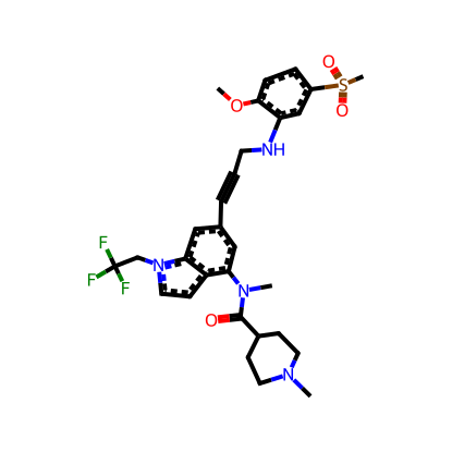 COc1ccc(S(C)(=O)=O)cc1NCC#Cc1cc(N(C)C(=O)C2CCN(C)CC2)c2ccn(CC(F)(F)F)c2c1